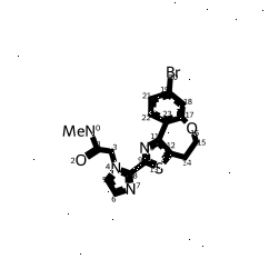 CNC(=O)Cn1ccnc1-c1nc2c(s1)CCOc1cc(Br)ccc1-2